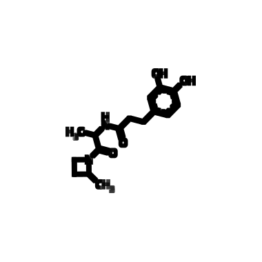 CC(NC(=O)CCc1ccc(O)c(O)c1)C(=O)N1CCC1C